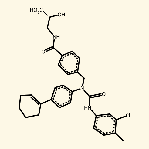 Cc1ccc(NC(=O)N(Cc2ccc(C(=O)NC[C@@H](O)C(=O)O)cc2)c2ccc(C3=CCCCC3)cc2)cc1Cl